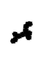 c1ccc2cc(-n3c4ccccc4c4cc(-c5ccc(N(c6ccc(-c7ccc8sc9ccccc9c8c7)cc6)c6cc7ccccc7c7ccccc67)cc5)ccc43)ccc2c1